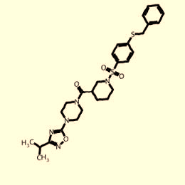 CC(C)c1noc(N2CCN(C(=O)[C@@H]3CCCN(S(=O)(=O)c4ccc(SCc5ccccc5)cc4)C3)CC2)n1